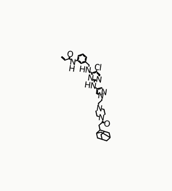 C=CC(=O)Nc1cccc(CNc2nc(Nc3cnn(CCN4CCN(C(=O)CC5C6CC7CC(C6)CC5C7)CC4)c3)ncc2Cl)c1